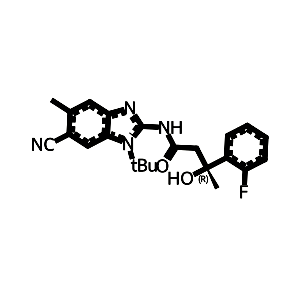 Cc1cc2nc(NC(=O)C[C@@](C)(O)c3ccccc3F)n(C(C)(C)C)c2cc1C#N